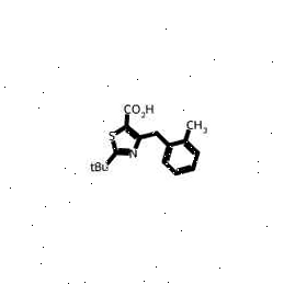 Cc1ccccc1Cc1nc(C(C)(C)C)sc1C(=O)O